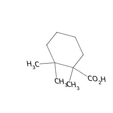 CC1(C)CCCCC1(C)C(=O)O